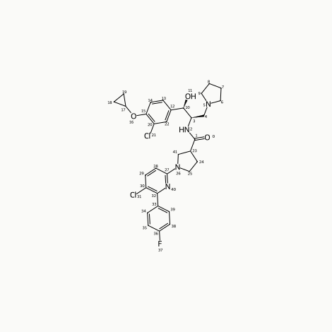 O=C(N[C@H](CN1CCCC1)[C@H](O)c1ccc(OC2CC2)c(Cl)c1)C1CCN(c2ccc(Cl)c(-c3ccc(F)cc3)n2)C1